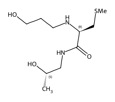 CSC[C@H](NCCCO)C(=O)NC[C@H](C)O